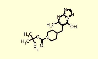 Cc1nc2ncnn2c(O)c1CC1CCN(C(=O)OC(C)(C)C)CC1